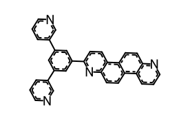 c1cncc(-c2cc(-c3cccnc3)cc(-c3ccc4c(ccc5c6cccnc6ccc45)n3)c2)c1